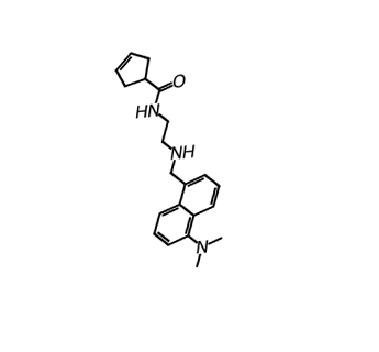 CN(C)c1cccc2c(CNCCNC(=O)C3CC=CC3)cccc12